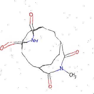 CN1C(=O)C2CCC(CC3CCC(C2)C(=O)NC3=O)C1=O